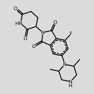 CC1CNCC(C)N1c1cc(F)c2c(c1)C(=O)N(C1CCC(=O)NC1=O)C2=O